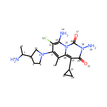 Cc1c(N2CCC(C(C)N)C2)c(F)c(N)n2c(=O)n(N)c(=O)c(C3CC3)c12